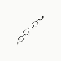 FC=CC1CCC(CCC2CCC(c3ccc(F)cc3)CC2)CC1